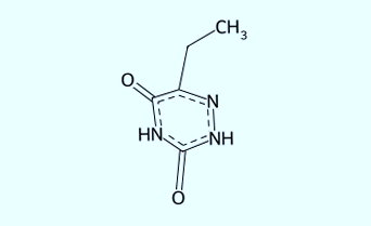 CCc1n[nH]c(=O)[nH]c1=O